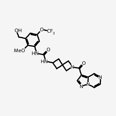 COc1c(CO)cc(OC(F)(F)F)cc1NC(=O)NC1CC2(C1)CN(C(=O)c1cnn3ccncc13)C2